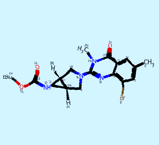 Cc1cc(Br)c2nc(N3C[C@@H]4C(NC(=O)OC(C)(C)C)[C@@H]4C3)n(C)c(=O)c2c1